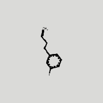 C=CCCc1cccc(I)c1